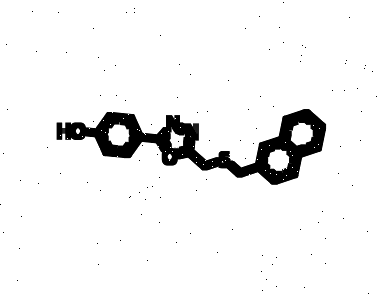 Oc1ccc(-c2nnc(CSCc3ccc4ccccc4c3)o2)cc1